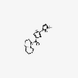 Cn1ccc(-c2cc(C(=O)N3CCCC4CCCCC43)cs2)n1